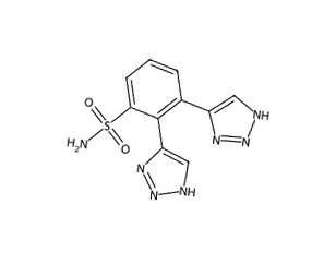 NS(=O)(=O)c1cccc(-c2c[nH]nn2)c1-c1c[nH]nn1